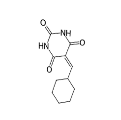 O=C1NC(=O)C(=CC2CCCCC2)C(=O)N1